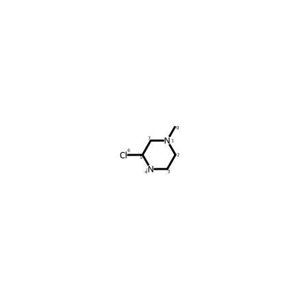 CN1CC[N]C(Cl)C1